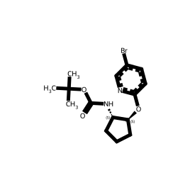 CC(C)(C)OC(=O)N[C@H]1CCC[C@@H]1Oc1ccc(Br)cn1